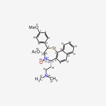 COc1ccc(C2Sc3c(ccc4ccccc34)[C@H](CCN(C)C)[N+](=O)[C@@H]2OC(C)=O)cc1